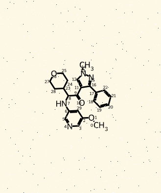 COc1cncc(NC(C(=O)c2cn(C)nc2-c2ccccc2)C2CCOCC2)c1